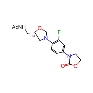 CC(=O)NC[C@H]1CN(c2ccc(N3CCOC3=O)cc2F)CO1